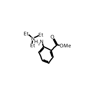 CCN(CC)CC.COC(=O)c1ccccc1N